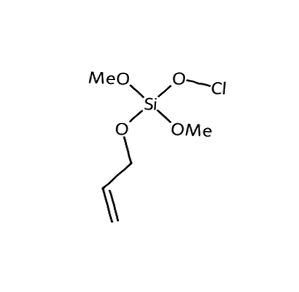 C=CCO[Si](OC)(OC)OCl